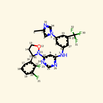 Cc1cn(-c2cc(Nc3cc(N4OCC[C@@H]4c4cccc(F)c4F)ncn3)cc(C(F)(F)F)c2)cn1